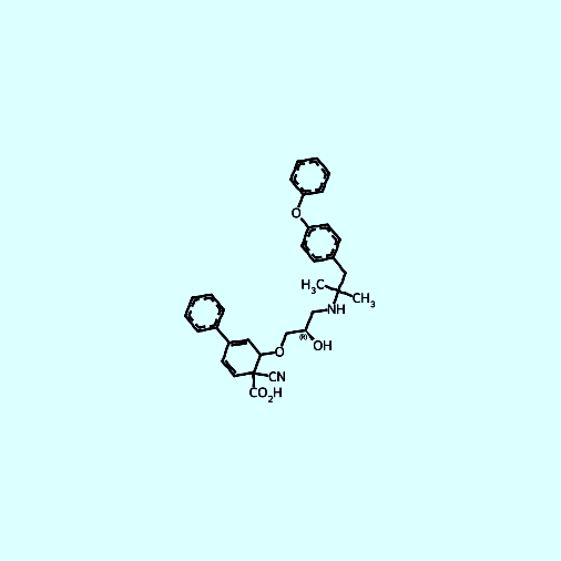 CC(C)(Cc1ccc(Oc2ccccc2)cc1)NC[C@@H](O)COC1C=C(c2ccccc2)C=CC1(C#N)C(=O)O